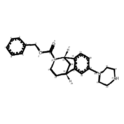 O=C(OCc1ccccc1)N1CC[C@@H]2C[C@H]1c1ccc(N3CCNCC3)cc12